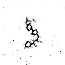 Cn1c(=O)oc2ccc(-c3ccc(C[C@@H](C#N)NC(=O)C4=CN=CC=CO4)nn3)cc21